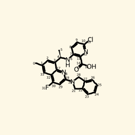 Cc1cc([C@@H](C)Nc2ccc(Cl)nc2C(=O)O)c2nc(N3Cc4ccccc4C3)cc(F)c2c1